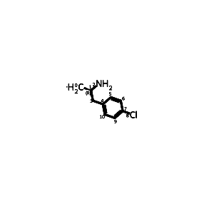 [CH2][C@@H](N)Cc1ccc(Cl)cc1